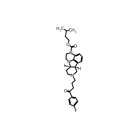 CC(C)CCOC(=O)N1CCN2c3c(cccc31)[C@@H]1CN(CCCC(=O)c3ccc(F)cc3)CC[C@@]12I